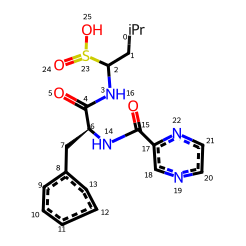 CC(C)CC(NC(=O)[C@H](Cc1ccccc1)NC(=O)c1cnccn1)S(=O)O